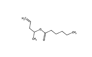 C=CCC(C)OC(=O)CCCCC